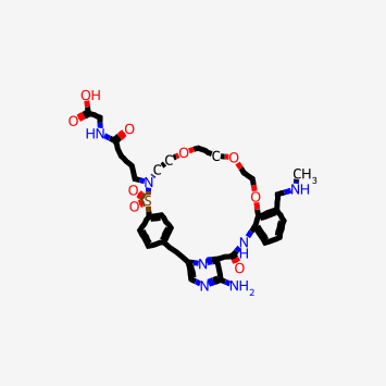 CNCc1cccc2c1OCCOCCOCCN(CCCC(=O)NCC(=O)O)S(=O)(=O)c1ccc(cc1)-c1cnc(N)c(n1)C(=O)N2